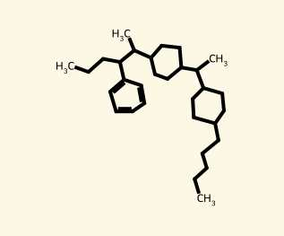 CCCCCC1CCC(C(C)C2CCC(C(C)C(CCC)c3ccccc3)CC2)CC1